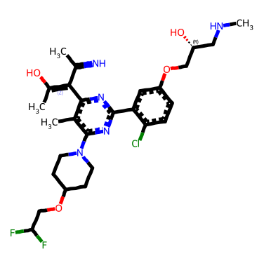 CNC[C@@H](O)COc1ccc(Cl)c(-c2nc(/C(C(C)=N)=C(\C)O)c(C)c(N3CCC(OCC(F)F)CC3)n2)c1